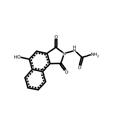 NC(=O)NN1C(=O)c2cc(O)c3ccccc3c2C1=O